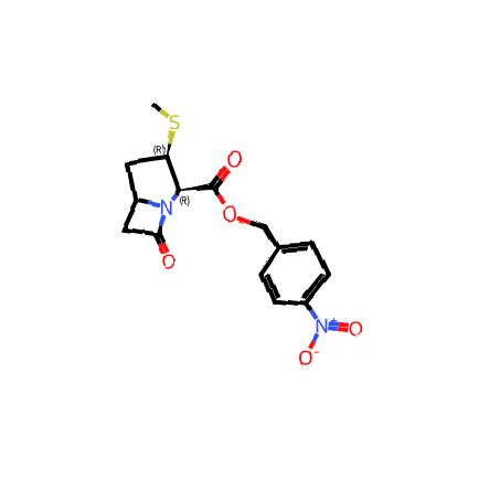 CS[C@@H]1CC2CC(=O)N2[C@@H]1C(=O)OCc1ccc([N+](=O)[O-])cc1